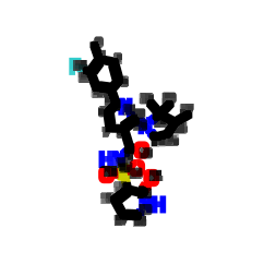 Cc1ccc(-c2ccc(C(=O)NS(=O)(=O)c3ccc[nH]c3=O)c(N3CCC(C)C3(C)C)n2)cc1F